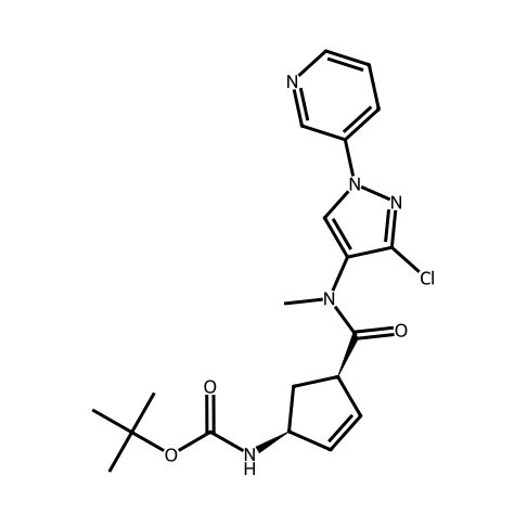 CN(C(=O)[C@H]1C=C[C@@H](NC(=O)OC(C)(C)C)C1)c1cn(-c2cccnc2)nc1Cl